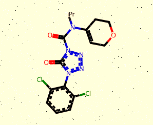 CC(C)N(C(=O)n1nnn(-c2c(Cl)cccc2Cl)c1=O)C1=CCOCC1